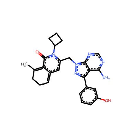 CC1=c2c(cc(Cn3nc(-c4cccc(O)c4)c4c(N)ncnc43)n(C3CCC3)c2=O)=CCC1